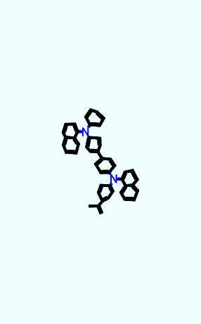 C=C(C)c1ccc(N(c2ccc(-c3ccc(N(c4ccccc4)c4cccc5ccccc45)cc3)cc2)c2cccc3ccccc23)cc1